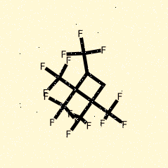 FC(F)(F)C1CC(C(F)(F)F)(C(F)(F)F)C1(C(F)(F)F)C(F)(F)F